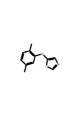 Cc1ccc(C)c(Oc2cn[c]o2)c1